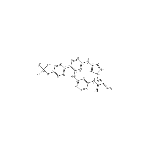 C=CC(=O)Nc1cccc(Nc2nc(Nc3cnn(C)c3)ncc2-c2ccc(CC(F)(F)F)cc2)c1